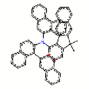 CC1(C)c2cc3ccccc3cc2-c2c(N(c3ccc4ccccc4c3-c3ccc4ccccc4c3)c3cc4ccccc4c4ccccc34)cccc21